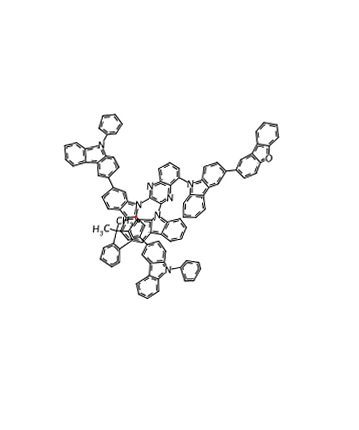 CC1(C)c2ccccc2-c2cc3c4ccccc4n(-c4nc5c(-n6c7ccccc7c7cc(-c8ccc9oc%10ccccc%10c9c8)ccc76)cccc5nc4-n4c5cc(-c6ccc7c(c6)c6ccccc6n7-c6ccccc6)ccc5c5ccc(-c6ccc7c(c6)c6ccccc6n7-c6ccccc6)cc54)c3cc21